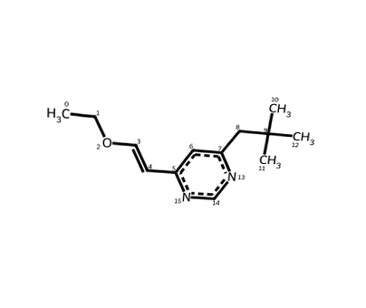 CCOC=Cc1cc(CC(C)(C)C)ncn1